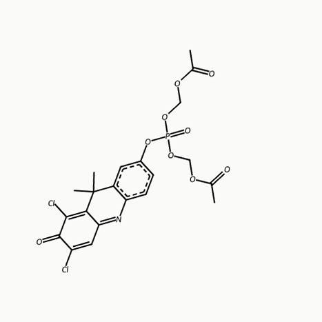 CC(=O)OCOP(=O)(OCOC(C)=O)Oc1ccc2c(c1)C(C)(C)C1=C(Cl)C(=O)C(Cl)=CC1=N2